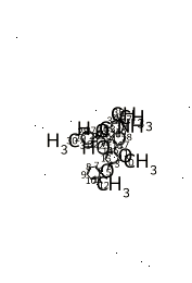 COc1cc(Oc2ccccc2C)ccc1-c1ccc2c(c1C(O)C(=O)c1ccc(C)cc1)C(C)=CC(C)(C)N2